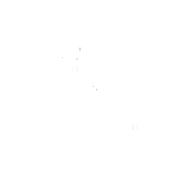 CC(C)(C)[Si](C)(C)OCCNCCO[Si](C)(C)C(C)(C)C